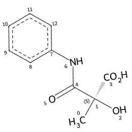 C[C@@](O)(C(=O)O)C(=O)Nc1ccccc1